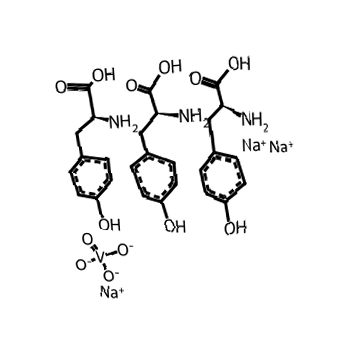 N[C@@H](Cc1ccc(O)cc1)C(=O)O.N[C@@H](Cc1ccc(O)cc1)C(=O)O.N[C@@H](Cc1ccc(O)cc1)C(=O)O.[Na+].[Na+].[Na+].[O]=[V]([O-])([O-])[O-]